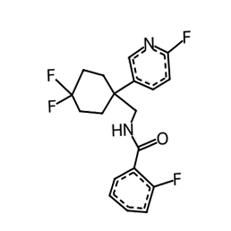 O=C(NCC1(c2ccc(F)nc2)CCC(F)(F)CC1)c1ccccc1F